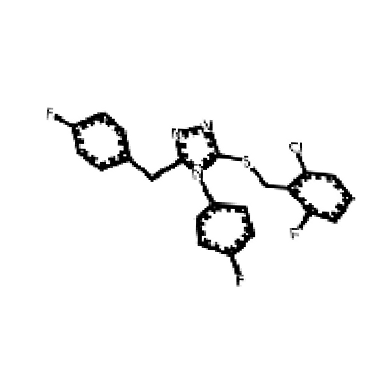 Fc1ccc(Cc2nnc(SCc3c(F)cccc3Cl)n2-c2ccc(F)cc2)cc1